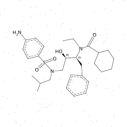 CCN(C(=O)C1CCCCC1)[C@@H](Cc1ccccc1)[C@H](O)CN(CC(C)C)S(=O)(=O)c1ccc(N)cc1